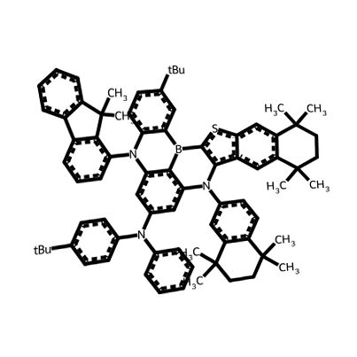 CC(C)(C)c1ccc(N(c2ccccc2)c2cc3c4c(c2)N(c2ccc5c(c2)C(C)(C)CCC5(C)C)c2c(sc5cc6c(cc25)C(C)(C)CCC6(C)C)B4c2cc(C(C)(C)C)ccc2N3c2cccc3c2C(C)(C)c2ccccc2-3)cc1